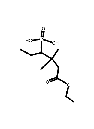 CCOC(=O)CC(C)(C)C(CC)P(=O)(O)O